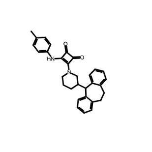 Cc1ccc(Nc2c(N3CCCC(C4c5ccccc5CCc5ccccc54)C3)c(=O)c2=O)cc1